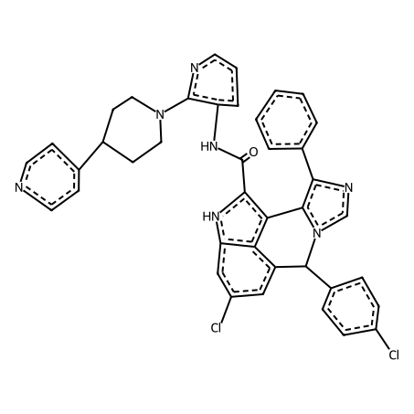 O=C(Nc1cccnc1N1CCC(c2ccncc2)CC1)c1[nH]c2cc(Cl)cc3c2c1-c1c(-c2ccccc2)ncn1C3c1ccc(Cl)cc1